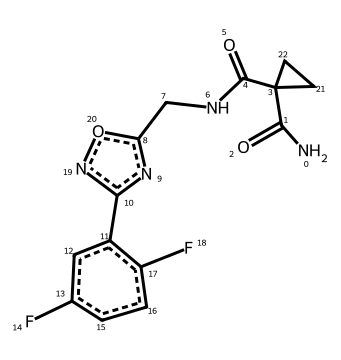 NC(=O)C1(C(=O)NCc2nc(-c3cc(F)ccc3F)no2)CC1